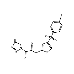 O=C(Cc1cc(S(=O)(=O)c2ccc(F)cc2)cs1)C(=O)c1nn[nH]n1